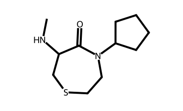 CNC1CSCCN(C2CCCC2)C1=O